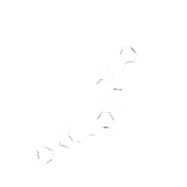 CCO[C@H](C(=O)N1C(=O)OC[C@@H]1Cc1ccccc1)[C@H](O)c1ccc(OCCc2nc(-c3ccccc3)oc2C)c(C)c1